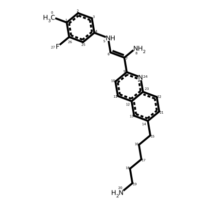 Cc1ccc(N/C=C(\N)c2ccc3cc(CCCCCN)ccc3n2)cc1F